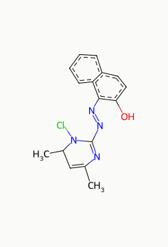 CC1=CC(C)N(Cl)C(N=Nc2c(O)ccc3ccccc23)=N1